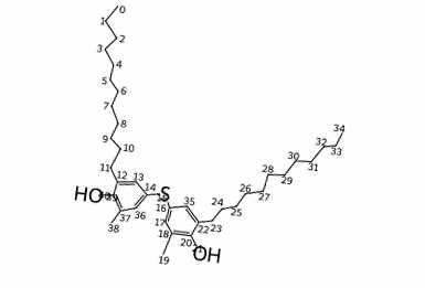 CCCCCCCCCCCCc1cc(Sc2cc(C)c(O)c(CCCCCCCCCCCC)c2)cc(C)c1O